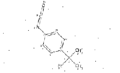 CCC(C)(C)c1ccc(N=C=O)cc1